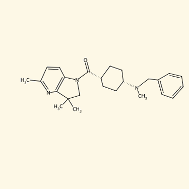 Cc1ccc2c(n1)C(C)(C)CN2C(=O)[C@H]1CC[C@@H](N(C)Cc2ccccc2)CC1